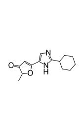 CC1OC(c2cnc(C3CCCCC3)[nH]2)=CC1=O